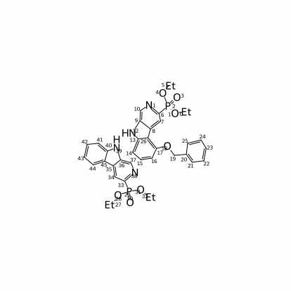 CCOP(=O)(OCC)c1cc2c(cn1)[nH]c1cccc(OCc3ccccc3)c12.CCOP(=O)(OCC)c1cc2c(cn1)[nH]c1ccccc12